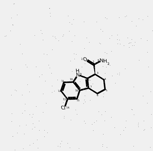 NC(=O)[C@H]1CCCc2c1[nH]c1ccc(Cl)cc21